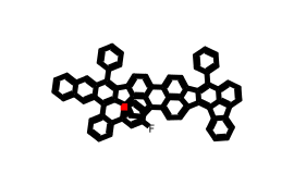 Fc1cccc(-c2ccccc2-c2c3c(c(-c4ccccc4)c4cc5ccccc5cc24)-c2ccc4c5ccc6c7c(-c8ccccc8)c8cccc9c%10ccccc%10c(c89)c7c7ccc(c8ccc-3c2c48)c5c67)c1